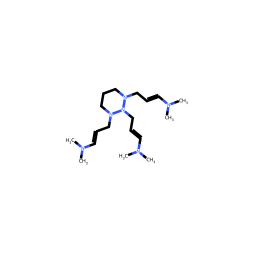 CN(C)C=CCN1CCCN(CC=CN(C)C)N1CC=CN(C)C